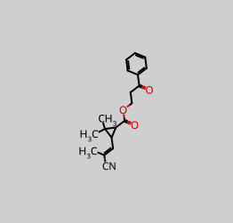 CC(C#N)=CC1C(C(=O)OCCC(=O)c2ccccc2)C1(C)C